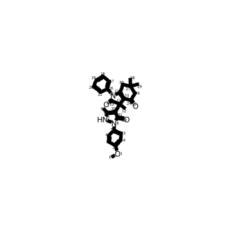 COc1ccc(-n2[nH]c(C)c(C3(C)C(=O)N(c4ccccc4)C4=C3C(=O)CC(C)(C)C4)c2=O)cc1